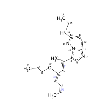 C\C=C/C=C(\C=C(/C)c1cnc2ccc(NCC)nn12)OCCC